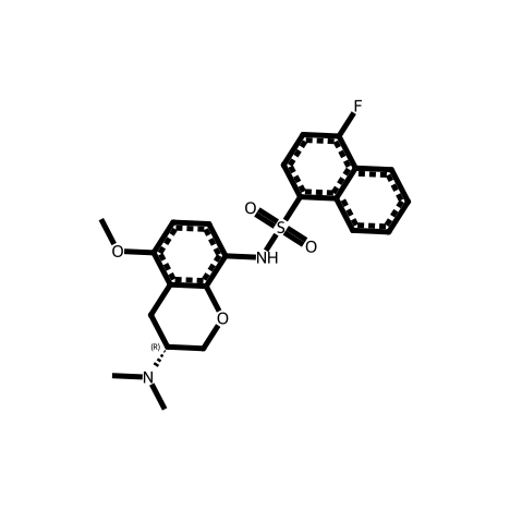 COc1ccc(NS(=O)(=O)c2ccc(F)c3ccccc23)c2c1C[C@@H](N(C)C)CO2